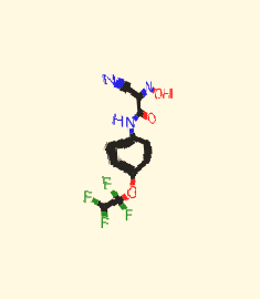 N#C/C(=N/O)C(=O)Nc1ccc(OC(F)(F)C(F)F)cc1